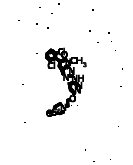 Cn1c(=O)c(-c2c(Cl)cccc2Cl)cc2cnc(Nc3ccc(OCCN4CC[S+]([O-])CC4)nn3)nc21